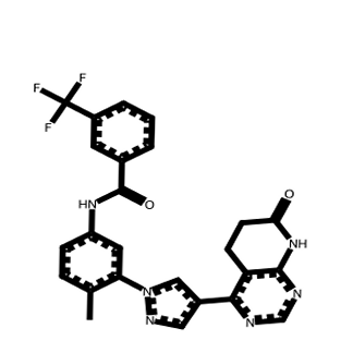 Cc1ccc(NC(=O)c2cccc(C(F)(F)F)c2)cc1-n1cc(-c2ncnc3c2CCC(=O)N3)cn1